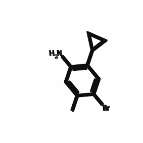 Cc1cc(N)c(C2CC2)cc1Br